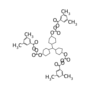 Cc1cc(C)cc(C(=O)OOC(=O)OC2CCC(C(C3CCC(OC(=O)OOC(=O)c4cc(C)cc(C)c4)CC3)C3CCC(OC(=O)OOC(=O)c4cc(C)cc(C)c4)CC3)CC2)c1